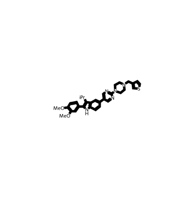 COc1ccc(-c2[nH]c3ccc(-c4cnc(N5CCN(Cc6ccsc6)CC5)nc4)cc3c2C(C)C)cc1OC